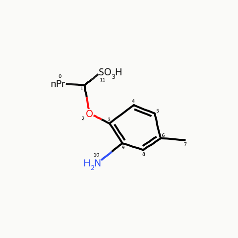 CCCC(Oc1ccc(C)cc1N)S(=O)(=O)O